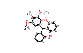 COc1cc(C(c2ccccc2O)c2ccccc2O)cc(OC)c1O